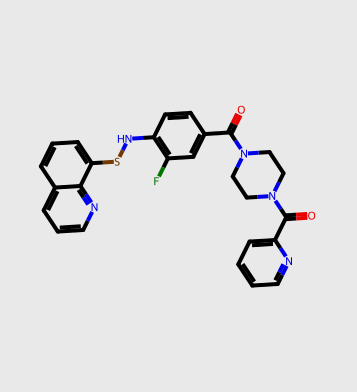 O=C(c1ccc(NSc2cccc3cccnc23)c(F)c1)N1CCN(C(=O)c2ccccn2)CC1